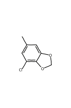 Cc1cc(Cl)c2c(c1)OCO2